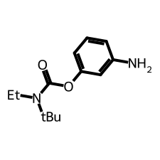 CCN(C(=O)Oc1cccc(N)c1)C(C)(C)C